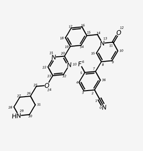 N#Cc1ccc(F)c(-c2ccc(=O)n(Cc3cccc(-c4ncc(OCC5CCNCC5)cn4)c3)c2)c1